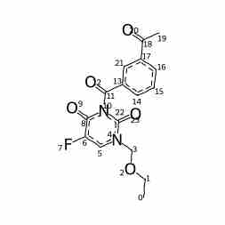 CCOCn1cc(F)c(=O)n(C(=O)c2cccc(C(C)=O)c2)c1=O